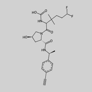 C#Cc1ccc([C@H](C)NC(=O)[C@@H]2C[C@@H](O)CN2C(=O)C(NC(=O)O)C(C)(C)CCC(F)F)cc1